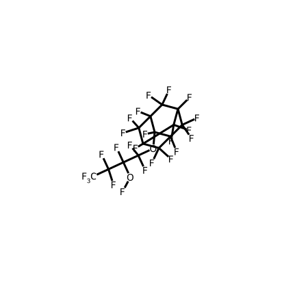 FOC(F)(C(F)(F)OC1(F)C2(F)C(F)(F)C3(F)C(F)(F)C(F)(C2(F)F)C(F)(F)C1(F)C3(F)F)C(F)(F)C(F)(F)F